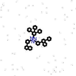 c1ccc(-c2cc(-c3nc(-c4cccc(-c5cccc6ccccc56)c4)nc(-c4cccc(-c5ccc(-c6ccccc6)c6ccccc56)c4)n3)cc(-c3ccccc3)c2-c2ccccc2)cc1